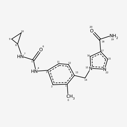 Cc1cc(NC(=O)NC2CC2)ccc1Cn1cc(C(N)=O)cn1